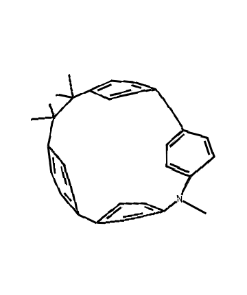 CN1c2ccc(cc2)-c2ccc(cc2)C(C)(C)C(C)(C)c2ccc(cc2)-c2ccc1cc2